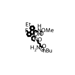 CCCCOC(=O)[C@@H](N)CCC(=O)N1CCC[C@H](C(O)(CCCNC(=O)OC)c2cccc(F)c2-c2cccc(CC)c2)C1